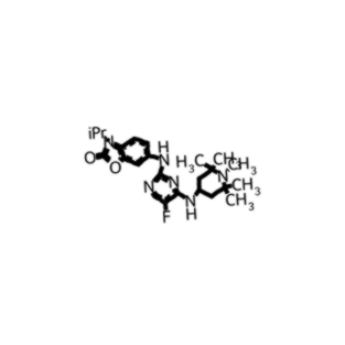 CC(C)n1c(=O)oc2cc(Nc3ncc(F)c(NC4CC(C)(C)N(C)C(C)(C)C4)n3)ccc21